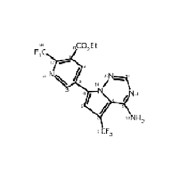 CCOC(=O)c1cc(-c2cc(C(F)(F)F)c3c(N)ncnn23)cnc1C(F)(F)F